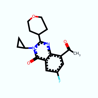 CC(=O)c1cc(F)cc2c(=O)n(C3CC3)c(C3CCOCC3)nc12